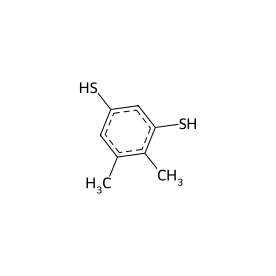 Cc1cc(S)cc(S)c1C